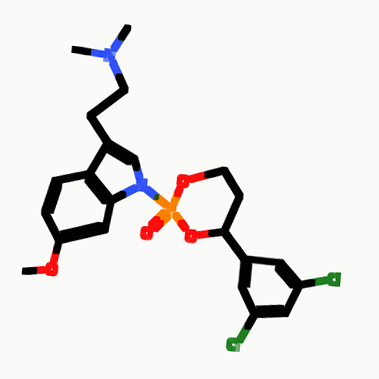 COc1ccc2c(CCN(C)C)cn(P3(=O)OCCC(c4cc(Cl)cc(Cl)c4)O3)c2c1